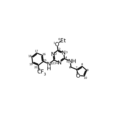 CCOc1nc(NCc2ccco2)nc(Nc2ccccc2C(F)(F)F)n1